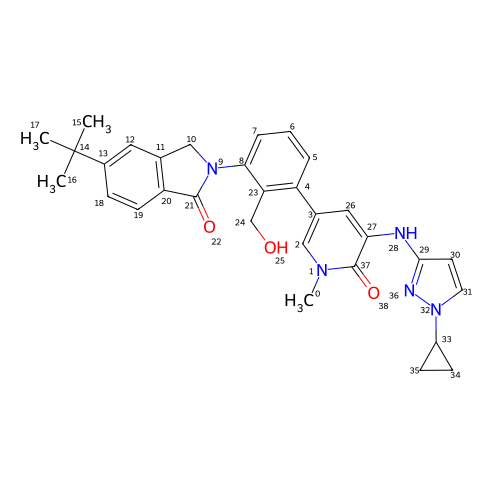 Cn1cc(-c2cccc(N3Cc4cc(C(C)(C)C)ccc4C3=O)c2CO)cc(Nc2ccn(C3CC3)n2)c1=O